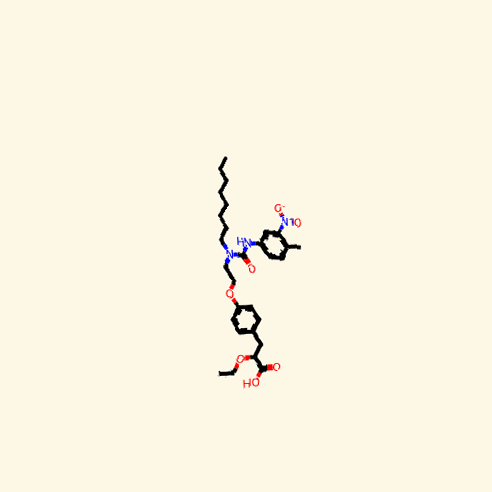 CCCCCCCCN(CCOc1ccc(CC(OCC)C(=O)O)cc1)C(=O)Nc1ccc(C)c([N+](=O)[O-])c1